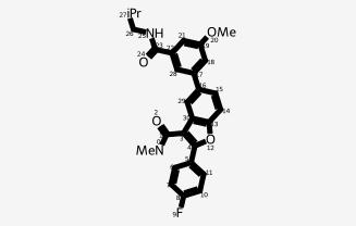 CNC(=O)c1c(-c2ccc(F)cc2)oc2ccc(-c3cc(OC)cc(C(=O)NCC(C)C)c3)cc12